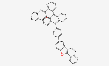 c1ccc(-c2c3ccccc3c(-c3ccc(-c4ccc5oc6c7ccccc7ccc6c5c4)cc3)c3ccccc23)c(-c2ccc3ccccc3c2)c1